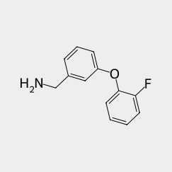 NCc1cccc(Oc2ccccc2F)c1